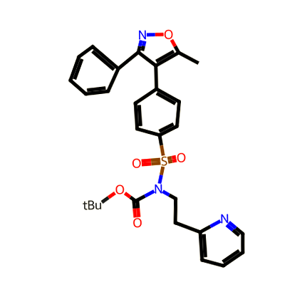 Cc1onc(-c2ccccc2)c1-c1ccc(S(=O)(=O)N(CCc2ccccn2)C(=O)OC(C)(C)C)cc1